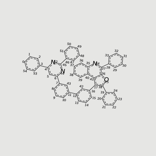 c1ccc(-c2cc(-c3cccc(-c4cccc(-c5c(-c6ccccc6)oc6c(-c7ccccc7)nc7ccccc7c56)c4)c3)nc(-c3ccccc3)n2)cc1